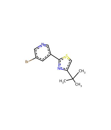 CC(C)(C)c1csc(-c2cncc(Br)c2)n1